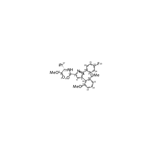 COC(=O)[C@@H](NC(=O)c1cc(-c2c(OC)cccc2OC)n(-c2ccc(F)cc2)n1)C(C)C